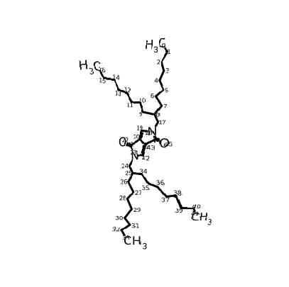 CCCCCCCCC(CCCCCCCC)CN1C=C2C(=O)N(CC(CCCCCCCC)CCCCCCCC)C=C2C1=O